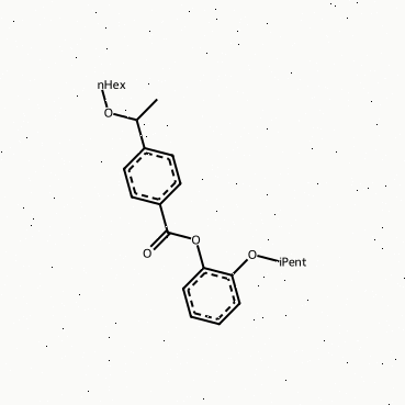 CCCCCCOC(C)c1ccc(C(=O)Oc2ccccc2OC(C)CCC)cc1